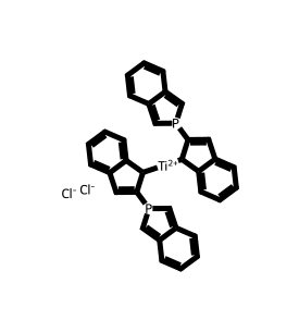 C1=C(p2cc3ccccc3c2)[CH]([Ti+2][CH]2C(p3cc4ccccc4c3)=Cc3ccccc32)c2ccccc21.[Cl-].[Cl-]